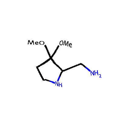 COC1(OC)CCNC1CN